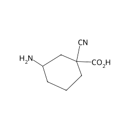 N#CC1(C(=O)O)CCCC(N)C1